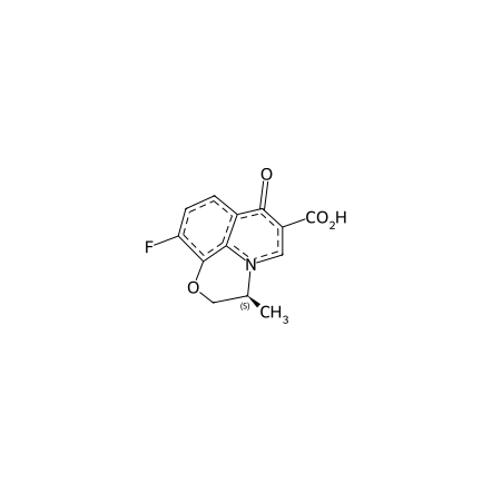 C[C@H]1COc2c(F)ccc3c(=O)c(C(=O)O)cn1c23